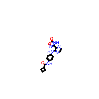 O=C(Nc1ccc(Nc2nccnc2-c2noc(=O)[nH]2)cc1)C1CCC1